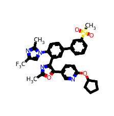 Cc1nc(-c2cc(-c3cccc(S(C)(=O)=O)c3)ccc2-n2cc(C(F)(F)F)nc2C)c(-c2ccc(OC3CCCC3)nc2)o1